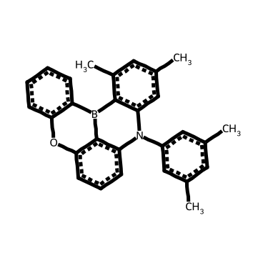 Cc1cc(C)cc(N2c3cc(C)cc(C)c3B3c4ccccc4Oc4cccc2c43)c1